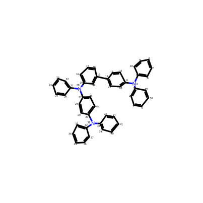 c1ccc(N(c2ccccc2)c2ccc(-c3cccc(N(c4ccccc4)c4ccc(N(c5ccccc5)c5ccccc5)cc4)c3)cc2)cc1